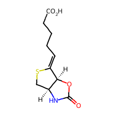 O=C(O)CCCC=C1SC[C@@H]2NC(=O)O[C@H]12